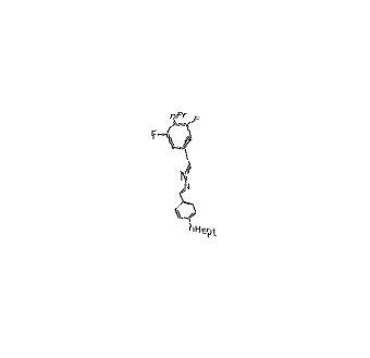 CCCCCCCc1ccc(C=NN=Cc2cc(F)c(CCC)c(F)c2)cc1